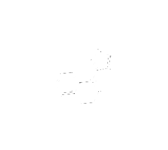 c1ccc2c(c1)CCCN2c1c[nH]cn1